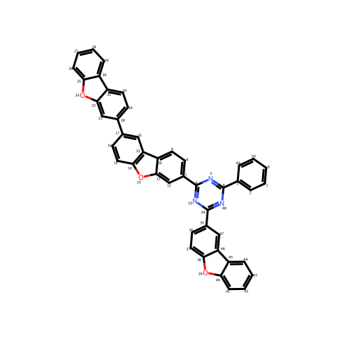 c1ccc(-c2nc(-c3ccc4c(c3)oc3ccc(-c5ccc6c(c5)oc5ccccc56)cc34)nc(-c3ccc4oc5ccccc5c4c3)n2)cc1